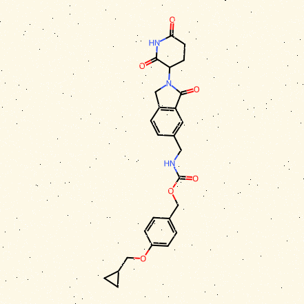 O=C1CCC(N2Cc3ccc(CNC(=O)OCc4ccc(OCC5CC5)cc4)cc3C2=O)C(=O)N1